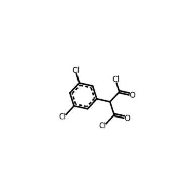 O=C(Cl)C(C(=O)Cl)c1cc(Cl)cc(Cl)c1